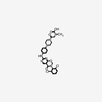 CN(CC(=O)N1CCN(c2ccc(Nc3ncc4c(n3)OCN(c3c(Cl)cccc3Cl)C4=O)cc2)CC1)C(=O)O